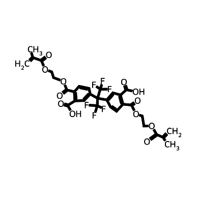 C=C(C)C(=O)OCCOC(=O)c1ccc(C(c2ccc(C(=O)OCCOC(=O)C(=C)C)c(C(=O)O)c2)(C(F)(F)F)C(F)(F)F)cc1C(=O)O